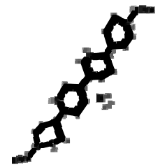 CCCCCCN1C=CC(c2ccc(-c3ccc(-c4cc[n+](CCCCCC)cc4)nc3)cn2)=CC1.I.[I-]